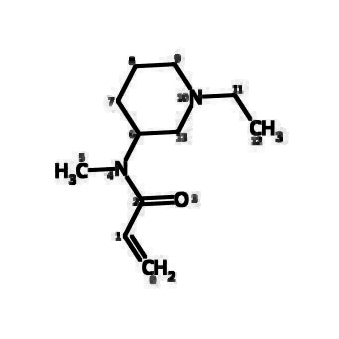 C=CC(=O)N(C)C1CCCN(CC)C1